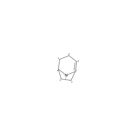 C1=C2CCC(CC1)[N]2